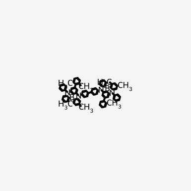 Cc1cc(C)c2c(c1)N(c1ccccc1)c1cc(-c3ccccc3C)cc3c1B2c1ccccc1N3c1ccc(-c2ccc(N3c4cc(C)cc(C)c4B4c5ccccc5N(c5ccccc5)c5cc(-c6c(C)cccc6C)cc3c54)cc2)cc1